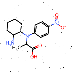 CC(C(=O)O)N(c1ccc([N+](=O)[O-])cc1)C1CCCCC1N